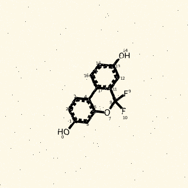 Oc1ccc2c(c1)OC(F)(F)c1cc(O)ccc1-2